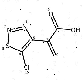 C=C(C(=O)O)c1nnsc1Cl